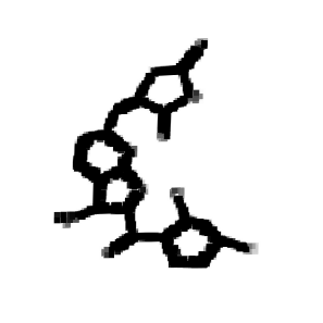 Nc1c(C(=O)c2ccc(Cl)cc2Cl)sc2nc(C=C3SC(=O)NC3=O)ccc12